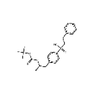 C[C@H](Cc1ccc(P(=O)(O)COc2ccccc2)cc1)NC(=O)OC(C)(C)C